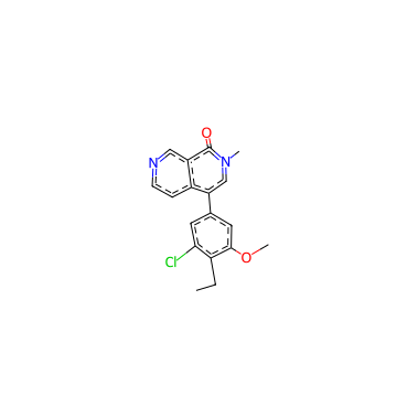 CCc1c(Cl)cc(-c2cn(C)c(=O)c3cnccc23)cc1OC